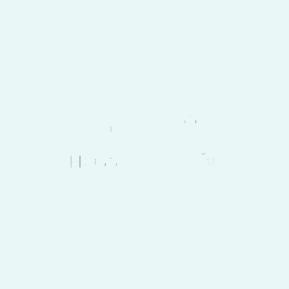 COC1=C(Br)CCC(C(=O)OO)=C1